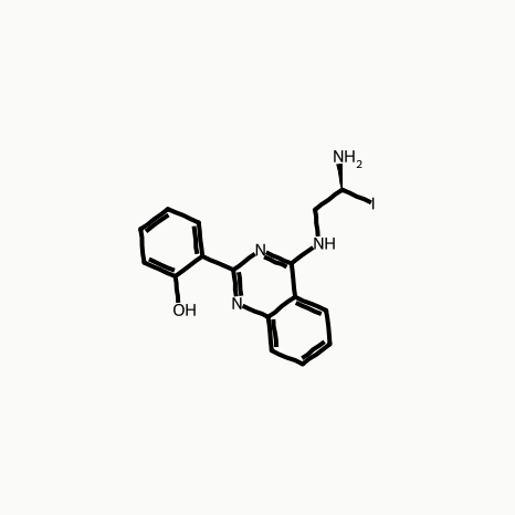 N[C@@H](I)CNc1nc(-c2ccccc2O)nc2ccccc12